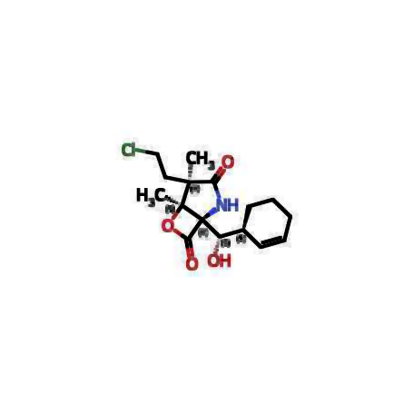 C[C@@]12OC(=O)[C@]1([C@@H](O)[C@@H]1C=CCCC1)NC(=O)[C@]2(C)CCCl